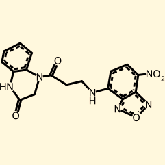 O=C1CN(C(=O)CCNc2ccc([N+](=O)[O-])c3nonc23)c2ccccc2N1